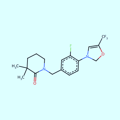 CC1(C)CCCN(Cc2ccc(N3C=C(C(F)(F)F)OC3)c(F)c2)C1=O